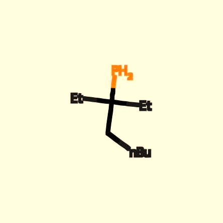 CCCCCC(P)(CC)CC